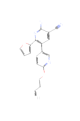 C=CCCOc1ccc(-c2cc(C#N)c(N)nc2-c2ccco2)cn1